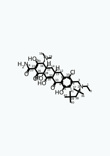 CCN(Cc1cc(O)c2c(c1Cl)C[C@H]1C[C@H]3[C@H](N(C)C)C(O)=C(C(N)=O)C(=O)[C@@]3(O)C(O)=C1C2=O)C(C)(C)CC(C)(C)C